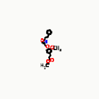 CCOC(=O)CCc1ccc(OCc2coc(C=Cc3ccccc3)n2)c(OC)c1